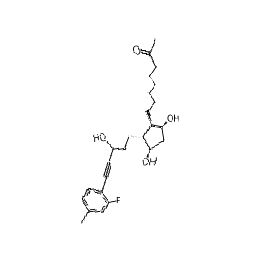 CC(=O)CCCCCC[C@@H]1[C@@H](CCC(O)C#Cc2ccc(C)cc2F)[C@H](O)C[C@@H]1O